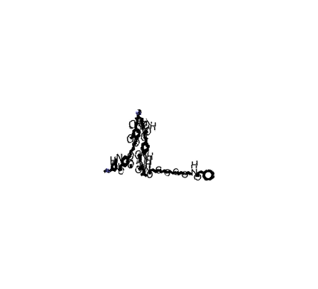 C/C=C/C1=CN2C(=O)c3cc(OC)c(OCCCOc4cc5c(cc4OC)C(=O)N4C=C(/C=C/C)C[C@H]4[C@H](O)N5C(=O)OCc4ccc(NC(=O)[C@H](C)NC(=O)[C@@H](NC(=O)CCOCCOCCOCCOCCNC(=O)CC5CCCCCCC5)C(C)C)cc4)cc3N=C[C@@H]2C1